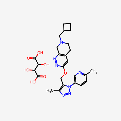 Cc1ccc(-n2nnc(C)c2COc2cc3c(nn2)CN(CC2CCC2)CC3)cn1.O=C(O)C(O)C(O)C(=O)O